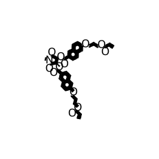 C=CC(=O)OCCCOc1ccc2cc(C(=O)O[C@H]3C(=O)N(C)C(=O)[C@@H]3OC(=O)c3ccc4cc(OCCCOC(=O)C=C)ccc4c3)ccc2c1